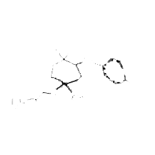 CCCOC1(C)CCC(F)(F)C(Oc2ccc(O)cc2)C1